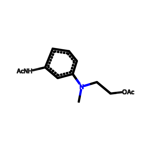 CC(=O)Nc1cccc(N(C)CCOC(C)=O)c1